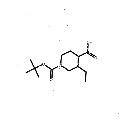 CCC1CN(C(=O)OC(C)(C)C)CCC1C(=O)O